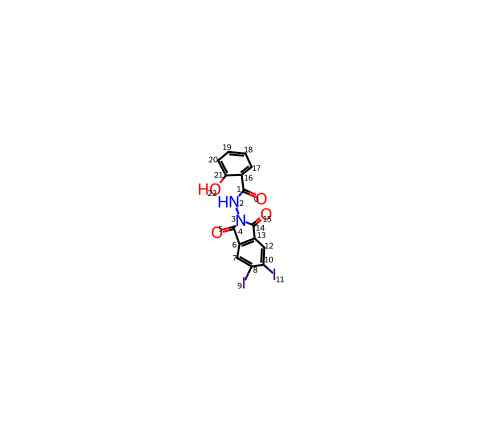 O=C(NN1C(=O)c2cc(I)c(I)cc2C1=O)c1ccccc1O